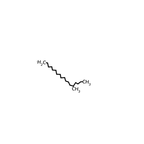 [CH2]CCCCCCCCCCCCC(C)CCCC